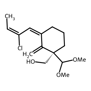 C=C1/C(=C\C(Cl)=C/C)CCC[C@@]1(CO)C(OC)OC